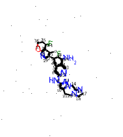 Cc1c(-c2cc3cc(Nc4cc5n(n4)Cc4nccn4CC5)ncc3c(N)c2F)cnc2c1C(F)CCO2